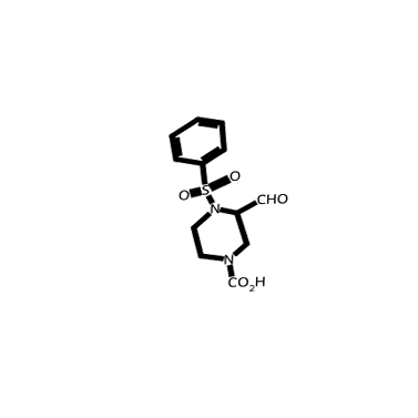 O=CC1CN(C(=O)O)CCN1S(=O)(=O)c1ccccc1